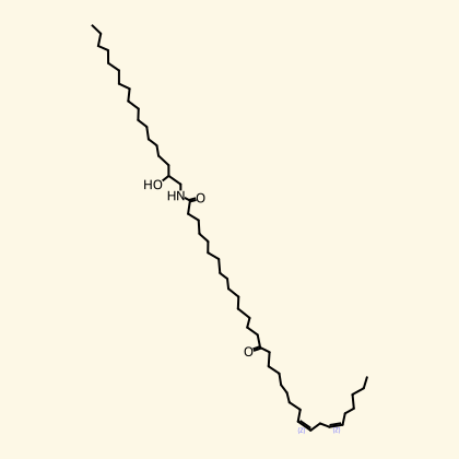 CCCCC/C=C\C/C=C\CCCCCCCC(=O)CCCCCCCCCCCCCCC(=O)NCC(O)CCCCCCCCCCCCCCCC